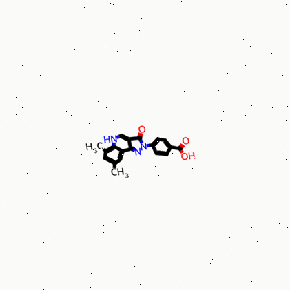 Cc1cc(C)c2[nH]cc3c(=O)n(-c4ccc(C(=O)O)cc4)nc-3c2c1